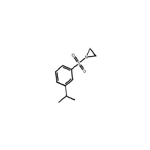 CC(C)c1cccc(S(=O)(=O)N2CC2)c1